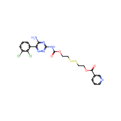 Nc1nc(NC(=O)OCCSSCCOC(=O)c2cccnc2)nnc1-c1cccc(Cl)c1Cl